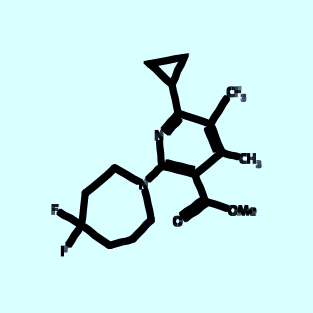 COC(=O)c1c(N2CCCC(F)(F)CC2)nc(C2CC2)c(C(F)(F)F)c1C